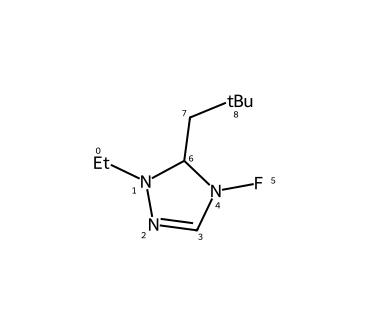 CCN1N=CN(F)C1CC(C)(C)C